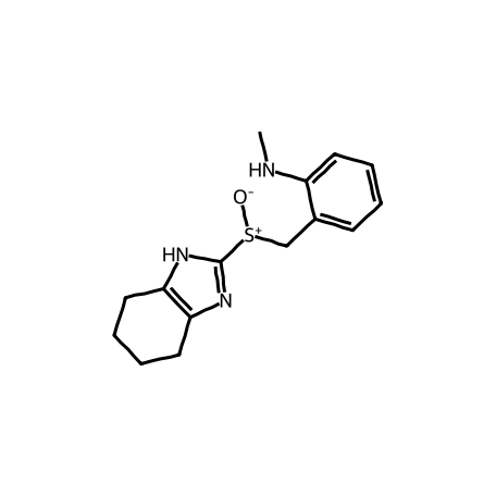 CNc1ccccc1C[S+]([O-])c1nc2c([nH]1)CCCC2